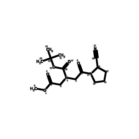 COC(=O)CN(CC(=O)N1CCCC1C#N)C(=O)OC(C)(C)C